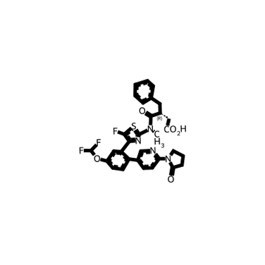 CN(C(=O)[C@@H](CC(=O)O)Cc1ccccc1)c1nc(-c2cc(OC(F)F)ccc2-c2ccc(N3CCCC3=O)nc2)c(F)s1